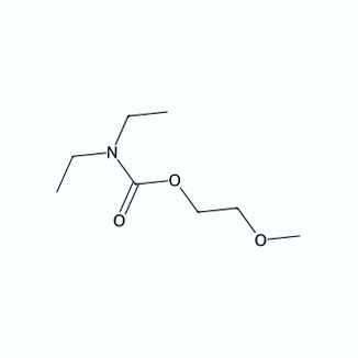 CCN(CC)C(=O)OCCOC